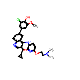 COc1cc(-c2ccc3ncc(C(=O)C4CC4)c(Nc4ccc(OCCN(C)C)nc4)c3c2)cc(Cl)c1O